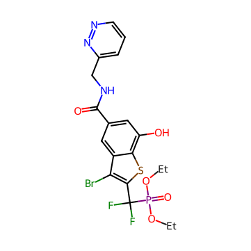 CCOP(=O)(OCC)C(F)(F)c1sc2c(O)cc(C(=O)NCc3cccnn3)cc2c1Br